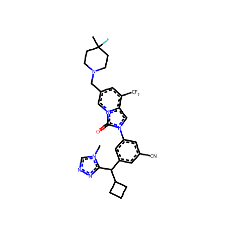 Cn1cnnc1C(c1cc(C#N)cc(-n2cc3c(C(F)(F)F)cc(CN4CCC(C)(F)CC4)cn3c2=O)c1)C1CCC1